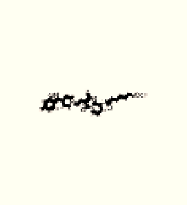 CCCCCCCCCCCCCCCC(=O)OC1CCCn2c1nc(C)c(CCN1CCC(c3noc4cc(C)ccc34)CC1)c2=O